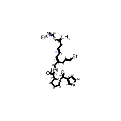 C=C(C/C=C/C=C(\CC=CCC)CNC(=O)C1CCCN1C(=O)c1ccsc1)S/C=N\CC